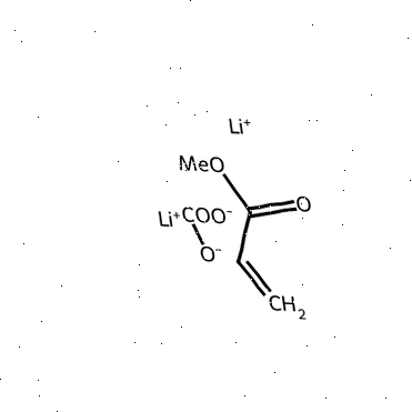 C=CC(=O)OC.O=C([O-])[O-].[Li+].[Li+]